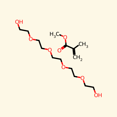 C=C(C)C(=O)OC.OCCOCCOCCOCCOCCO